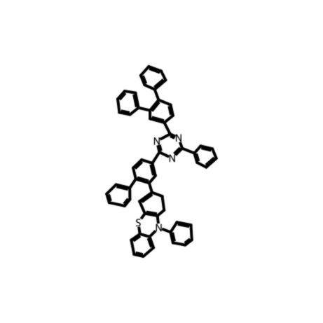 C1=C(c2cc(-c3nc(-c4ccccc4)nc(-c4ccc(-c5ccccc5)c(-c5ccccc5)c4)n3)ccc2-c2ccccc2)CCC2=C1Sc1ccccc1N2c1ccccc1